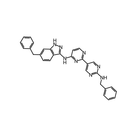 c1ccc(CNc2ncc(-c3nccc(Nc4n[nH]c5cc(Cc6ccccc6)ccc45)n3)cn2)cc1